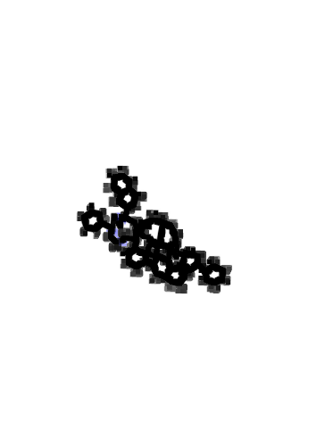 C1=C(c2ccccc2)\N=C(\c2ccc3ccccc3c2)Cc2c(c3cccc4c5cc6ccccc6c(c5oc34)n(-c3ccc(-c4ccccc4)cc3)c3ccc4cc2ccc4c3)/C=C/1